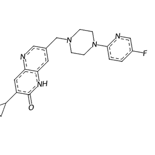 O=c1[nH]c2cc(CN3CCN(c4ccc(F)cn4)CC3)cnc2cc1C1CC1